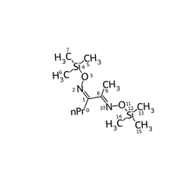 CCCC(=NO[Si](C)(C)C)C(C)=NO[Si](C)(C)C